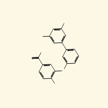 Nc1ccc(C(=O)O)cc1Nc1cccc(-c2cc(F)cc(F)c2)c1